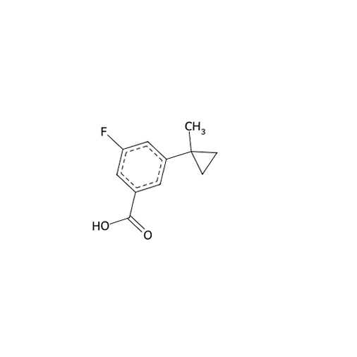 CC1(c2cc(F)cc(C(=O)O)c2)CC1